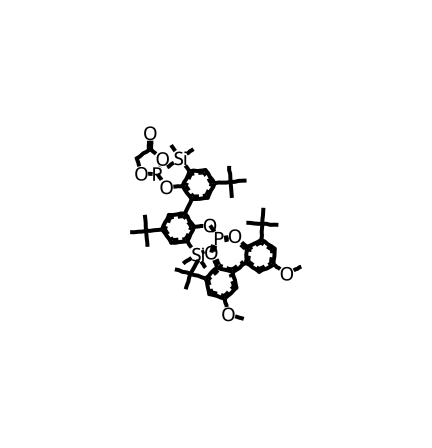 COc1cc(C(C)(C)C)c2op(Oc3c(-c4cc(C(C)(C)C)cc([Si](C)(C)C)c4OP4OCC(=O)O4)cc(C(C)(C)C)cc3[Si](C)(C)C)oc3c(C(C)(C)C)cc(OC)cc3c2c1